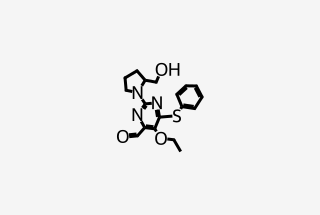 CCOc1c(C=O)nc(N2CCCC2CO)nc1Sc1ccccc1